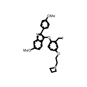 COc1ccc(-c2sc3cc(OC)ccc3c2Oc2ccc(OCCN3CCC3)cc2CF)cc1